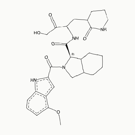 COc1cccc2[nH]c(C(=O)N3CC4CCCCC4[C@@H]3C(=O)NC(CC3CCCNC3=O)C(=O)CO)cc12